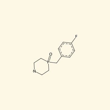 O=P1(Cc2ccc(F)cc2)CC[N]CC1